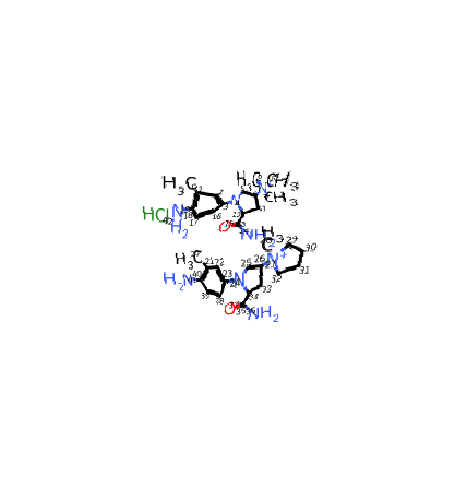 Cc1cc(N2CC([N+](C)(C)C)CC2C(N)=O)ccc1N.Cc1cc(N2CC([N+]3(C)CCCC3)CC2C(N)=O)ccc1N.Cl